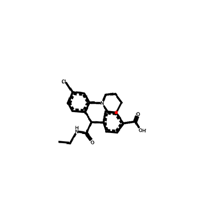 CCNC(=O)C(c1ccc(C(=O)O)cc1)c1ccc(Cl)cc1N1CCCCC1